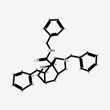 O=C(NCc1ccccc1)C12NCC3CC1CN(Cc1ccccc1)C2C3Cc1ccccc1